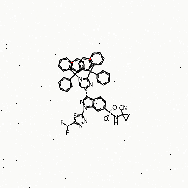 N#CC1(NS(=O)(=O)c2ccc3c(-c4cn(C(c5ccccc5)(c5ccccc5)c5ccccc5)c(C(c5ccccc5)(c5ccccc5)c5ccccc5)n4)nn(-c4nnc(C(F)F)s4)c3c2)CC1